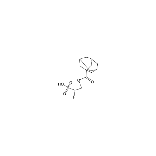 O=C(OCC(F)S(=O)(=O)O)C12CC3CC(CC(C3)C1)C2